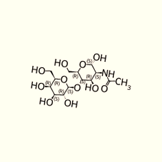 CC(=O)N[C@H]1[C@@H](O)[C@H](O[C@@H]2O[C@H](CO)[C@H](O)[C@H](O)[C@H]2O)[C@@H](CO)O[C@@H]1O